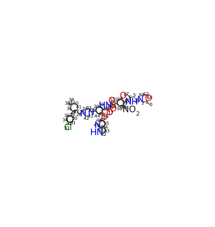 CC1CN(CCC2COc3cc(S(=O)(=O)NC(=O)c4ccc(N5CCN(CC6=C(c7ccc(Cl)cc7)CC(C)(C)CC6)CC5)cc4Oc4cnc5[nH]ccc5c4)cc([N+](=O)[O-])c3N2)CCO1